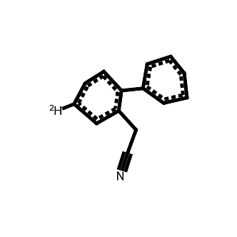 [2H]c1ccc(-c2ccccc2)c(CC#N)c1